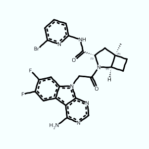 C[C@]12CC[C@H]1N(C(=O)Cn1c3cc(F)c(F)cc3c3c(N)ncnc31)[C@H](C(=O)Nc1cccc(Br)n1)C2